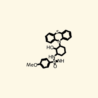 COc1ccc(S(=N)(=O)NC2CCCC(N3c4ccccc4Sc4ccccc43)C2O)cc1